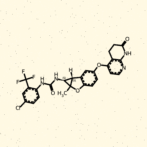 CC12Oc3ccc(Oc4ccnc5c4CCC(=O)N5)cc3[C@H]1[C@@H]2NC(=O)Nc1ccc(Cl)cc1C(F)(F)F